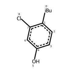 CCC(C)c1ccc(O)cc1Cl